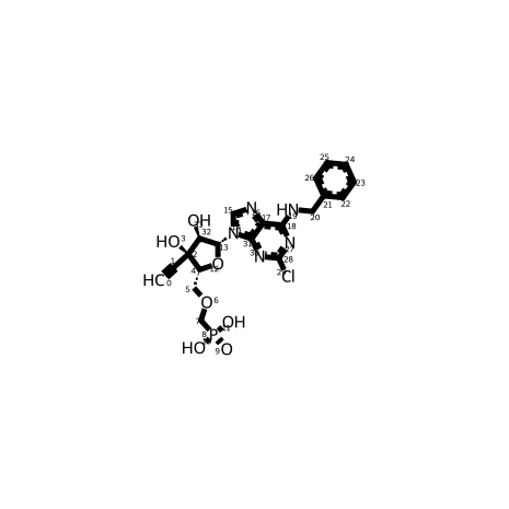 C#C[C@@]1(O)[C@@H](COCP(=O)(O)O)O[C@@H](n2cnc3c(NCc4ccccc4)nc(Cl)nc32)[C@@H]1O